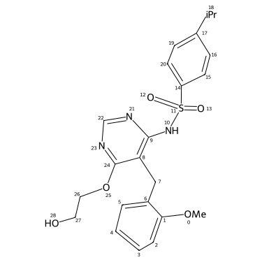 COc1ccccc1Cc1c(NS(=O)(=O)c2ccc(C(C)C)cc2)ncnc1OCCO